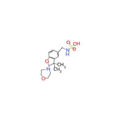 CC1(C)c2cc(CNS(=O)(=O)O)ccc2OC1N1CCOCC1